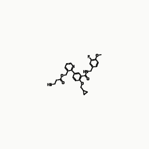 COc1ccc(CNC(=O)c2cc(-c3ncccc3COC(=O)CCS)ccc2OCC2CC2)cc1F